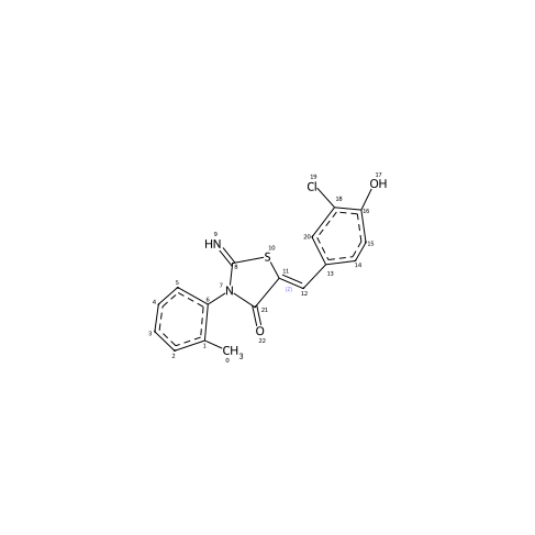 Cc1ccccc1N1C(=N)S/C(=C\c2ccc(O)c(Cl)c2)C1=O